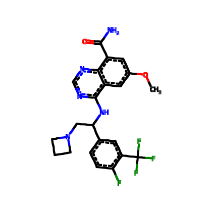 COc1cc(C(N)=O)c2ncnc(NC(CN3CCC3)c3ccc(F)c(C(F)(F)F)c3)c2c1